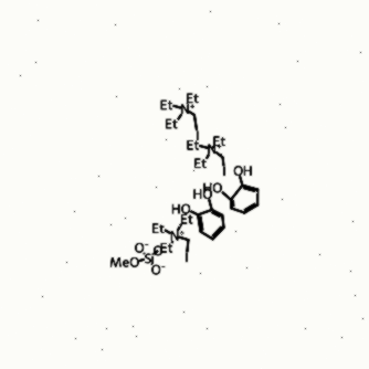 CC[N+](CC)(CC)CI.CC[N+](CC)(CC)CI.CC[N+](CC)(CC)CI.CO[Si]([O-])([O-])[O-].Oc1ccccc1O.Oc1ccccc1O